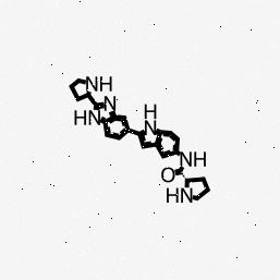 O=C(Nc1ccc2[nH]c(-c3ccc4[nH]c(C5CCCN5)nc4c3)cc2c1)[C@@H]1CCCN1